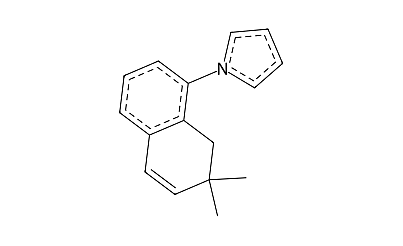 CC1(C)C=Cc2cccc(-n3cccc3)c2C1